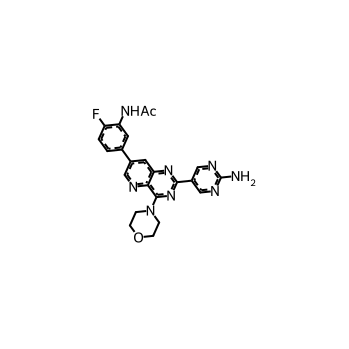 CC(=O)Nc1cc(-c2cnc3c(N4CCOCC4)nc(-c4cnc(N)nc4)nc3c2)ccc1F